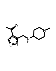 CC(=O)c1conc1CNC1CCN(C)CC1